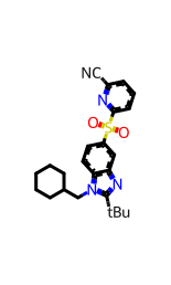 CC(C)(C)c1nc2cc(S(=O)(=O)c3cccc(C#N)n3)ccc2n1CC1CCCCC1